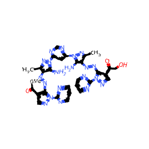 COC(=O)c1cnn(-c2ncccn2)c1/N=N/c1c(C)nn(-c2cc(-n3nc(C)c(/N=N/c4c(C(=O)CO)cnn4-c4ncccn4)c3N)ncn2)c1N